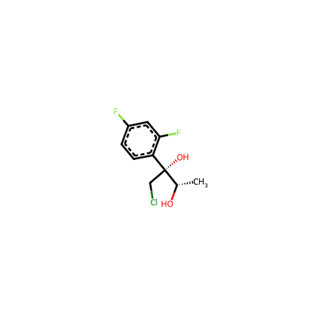 C[C@H](O)[C@@](O)(CCl)c1ccc(F)cc1F